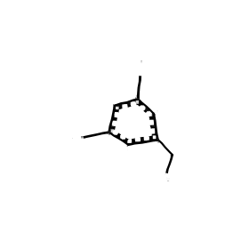 BrCc1cc(I)cc(I)c1